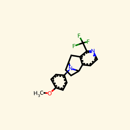 COc1ccc(N2C3CCC2c2ccnc(C(F)(F)F)c2C3)cc1